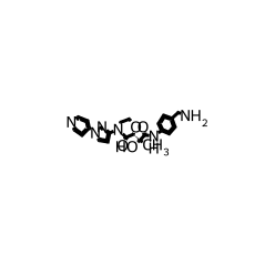 CC(O)(C(=O)Nc1ccc(CN)cc1)[C@H]1OCCN(c2ccn(-c3ccncc3)n2)C1=O